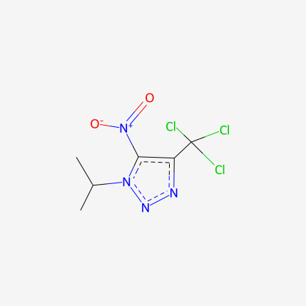 CC(C)n1nnc(C(Cl)(Cl)Cl)c1[N+](=O)[O-]